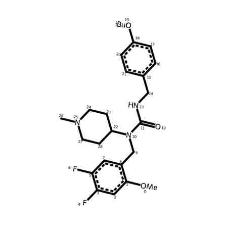 COc1cc(F)c(F)cc1CN(C(=O)NCc1ccc(OCC(C)C)cc1)C1CCN(C)CC1